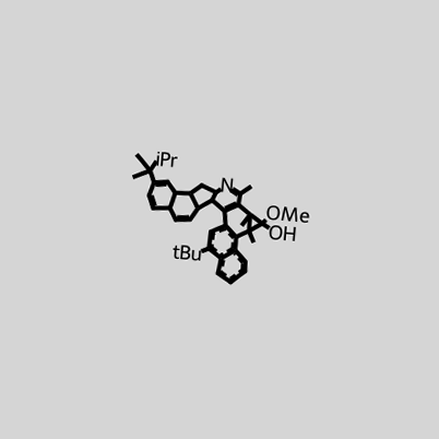 COC1(O)C2(C)C3=C(c4cc(C(C)(C)C)c5ccccc5c4C12C)C1C(CC2C4C=C(C(C)(C)C(C)C)C=CC4C=CC21)N=C3C